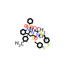 Cc1ccc([C@]23C[C@]4(SSCc5ccc(F)cc5)C(=O)N(C)[C@@](C)(SSCc5ccc(F)cc5)C(=O)N4[C@H]2N(S(=O)(=O)c2ccccc2)c2ccccc23)cc1